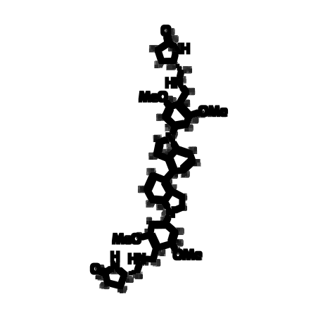 COc1cc(N2CCc3c(-c4cccc5c4ccn5-c4cc(OC)c(CNC[C@@H]5CCC(=O)N5)c(OC)c4)cccc32)cc(OC)c1CNC[C@@H]1CCC(=O)N1